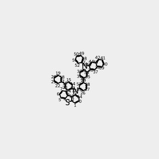 C1=CC2Sc3ccccc3C2C(N(c2ccc(-c3ccccc3)cc2)c2cccc(-c3ccc4c(c3)c3cc5ccccc5cc3n4-c3ccccc3)c2)=C1